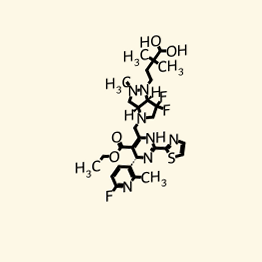 CCOC(=O)C1=C(CN2CC(F)(F)[C@@H]3[C@H]2CN(C)N3CCC(C)(C)C(O)O)NC(c2nccs2)=N[C@@H]1c1ccc(F)nc1C